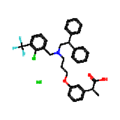 CC(C(=O)O)c1cccc(OCCCN(Cc2cccc(C(F)(F)F)c2Cl)CC(c2ccccc2)c2ccccc2)c1.Cl